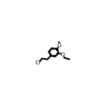 CCOc1cc(CCCl)ccc1OC